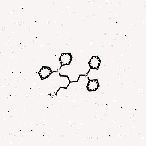 NCCC(CCP(c1ccccc1)c1ccccc1)CCP(c1ccccc1)c1ccccc1